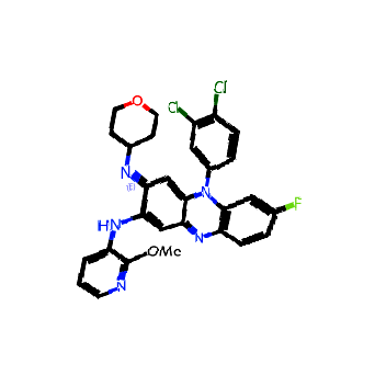 COc1ncccc1Nc1cc2nc3ccc(F)cc3n(-c3ccc(Cl)c(Cl)c3)c-2c/c1=N\C1CCOCC1